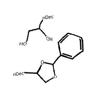 CCCCCCCCCCC(O)CO.CCCCCCCCCCC1COC(c2ccccc2)O1